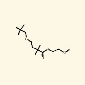 COCCSC(=O)C(C)(C)CCOCC(C)(C)C